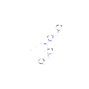 OCCO/N=C(/c1csc(/N=c2\[nH]ccs2)n1)c1cs/c(=N/c2nccs2)[nH]1